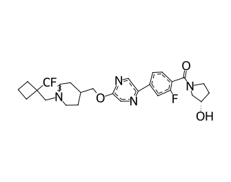 O=C(c1ccc(-c2cnc(OCC3CCN(CC4(C(F)(F)F)CCC4)CC3)cn2)cc1F)N1CC[C@H](O)C1